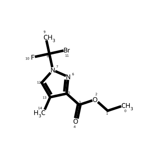 CCOC(=O)c1nn(C(C)(F)Br)cc1C